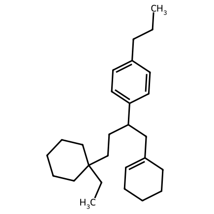 CCCc1ccc(C(CCC2(CC)CCCCC2)CC2=CCCCC2)cc1